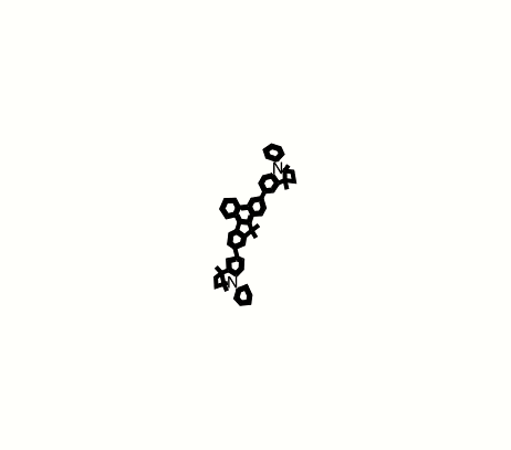 CC1(C)c2cc(-c3ccc4c(c3)C3(C)CCC3(C)N4c3ccccc3)ccc2-c2c1c1ccc(-c3ccc4c(c3)C3(C)CCC3(C)N4c3ccccc3)cc1c1ccccc21